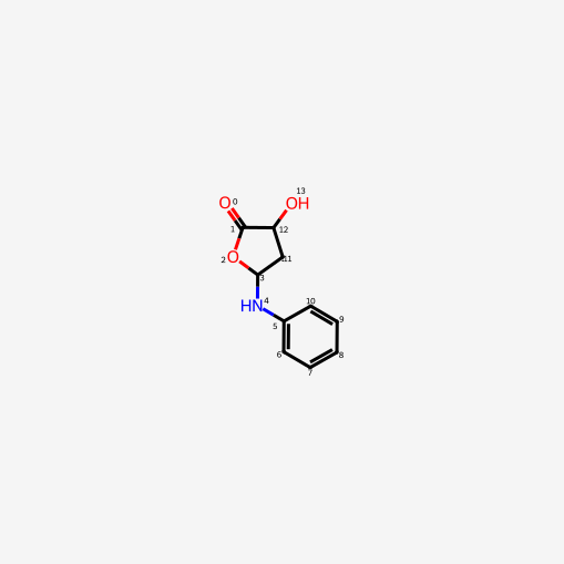 O=C1OC(Nc2ccccc2)[CH]C1O